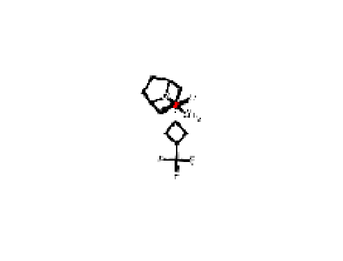 CC1=CC2CCC(C1)N2C(=O)[C@H]1C[C@H](C(F)(F)F)C1